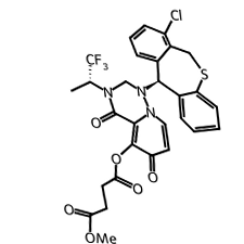 COC(=O)CCC(=O)Oc1c2n(ccc1=O)N([C@@H]1c3ccccc3SCc3c(Cl)cccc31)CN([C@H](C)C(F)(F)F)C2=O